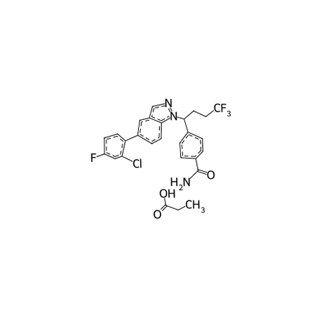 CCC(=O)O.NC(=O)c1ccc(C(CCC(F)(F)F)n2ncc3cc(-c4ccc(F)cc4Cl)ccc32)cc1